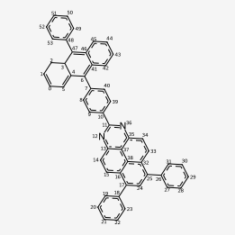 C1=CCC2C(=C1)C(c1ccc(-c3nc4ccc5c(-c6ccccc6)cc(-c6ccccc6)c6ccc(n3)c4c56)cc1)=c1ccccc1=C2c1ccccc1